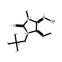 C/C=C1\C(=N/O)N(C)C(=O)N1CC(C)(C)C